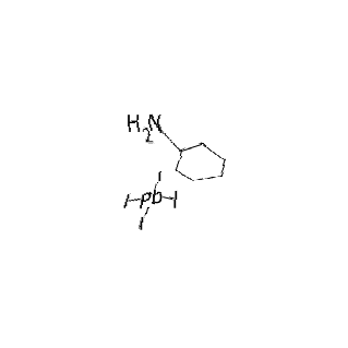 NC1CCCCC1.[I][Pb]([I])([I])[I]